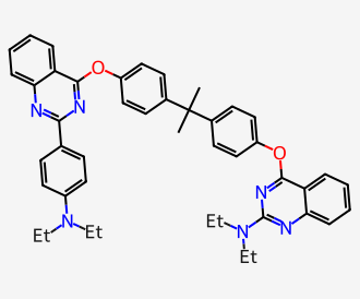 CCN(CC)c1ccc(-c2nc(Oc3ccc(C(C)(C)c4ccc(Oc5nc(N(CC)CC)nc6ccccc56)cc4)cc3)c3ccccc3n2)cc1